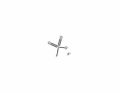 O=S(=O)([O-])F.[F+]